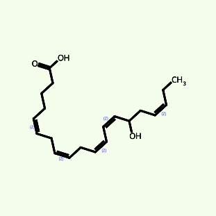 CC/C=C\CC(O)/C=C\C=C/C/C=C\C/C=C\CCCC(=O)O